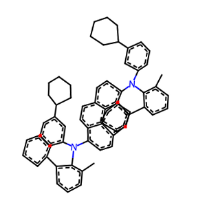 Cc1cccc(-c2ccccc2)c1N(c1cccc(C2CCCCC2)c1)c1ccc2ccc3c(N(c4cccc(C5CCCCC5)c4)c4c(C)cccc4-c4ccccc4)ccc4ccc1c2c43